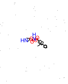 CCC12CC3CC(C(=O)ONC(=O)OC4CCNCC4)(C1)CC(c1ccccc1)(C3)C2